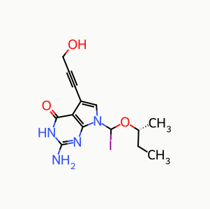 CC[C@@H](C)OC(I)n1cc(C#CCO)c2c(=O)[nH]c(N)nc21